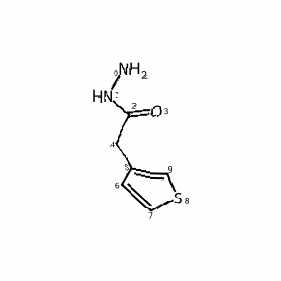 NNC(=O)Cc1ccsc1